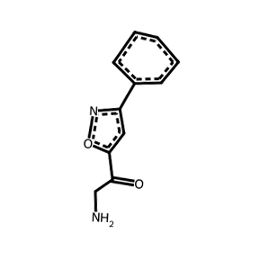 NCC(=O)c1cc(-c2ccccc2)no1